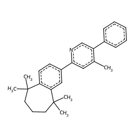 Cc1cc(-c2ccc3c(c2)C(C)(C)CCCC3(C)C)ncc1-c1ccccc1